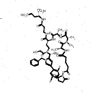 C[C@H](NC(=O)[C@H](C)N(C)C(=O)[C@H](C)NC(=O)CCCC(=O)ON1C(=O)CCC1=O)C(=O)N[C@@H](CCN(C(=O)CO)[C@@H](c1cc(-c2cc(F)ccc2F)cn1Cc1ccccc1)C(C)(C)C)C(=O)NCCC(=O)N[C@H](CCC(=O)O)C(=O)O